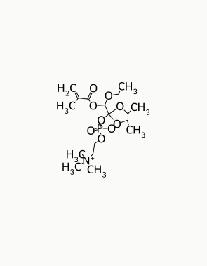 C=C(C)C(=O)OC(OCC)C(OCC)(OCC)OP(=O)([O-])OCC[N+](C)(C)C